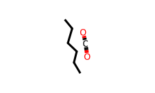 CCCCCC.O=C=O